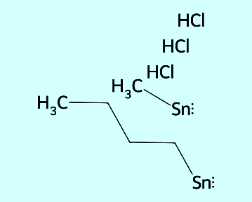 CCC[CH2][Sn].Cl.Cl.Cl.[CH3][Sn]